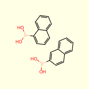 OB(O)c1ccc2ccccc2c1.OB(O)c1cccc2ccccc12